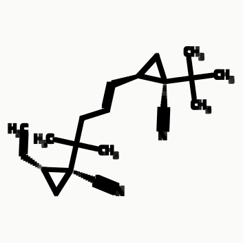 C=C[C@H]1C[C@]1(C#N)C(C)(C)C/C=C/[C@H]1C[C@@]1(C#N)C(C)(C)C